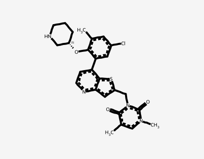 Cc1cc(Cl)cc(-c2ccnc3cc(Cn4c(=O)c(C)cn(C)c4=O)sc23)c1O[C@H]1CCCNC1